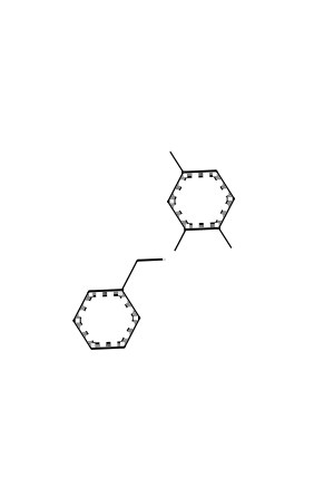 CCc1c[c]c(F)c(OCc2ccccc2)c1